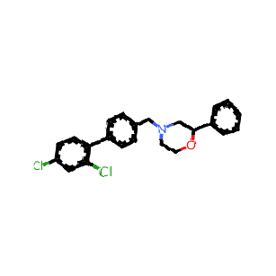 Clc1ccc(-c2ccc(CN3CCOC(c4ccccc4)C3)cc2)c(Cl)c1